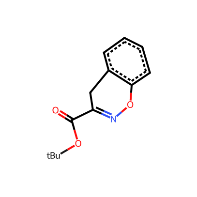 CC(C)(C)OC(=O)C1=NOc2ccccc2C1